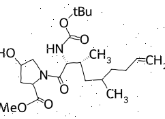 C=CCCC(C)C[C@@H](C)[C@@H](NC(=O)OC(C)(C)C)C(=O)N1CC(O)CC1C(=O)OC